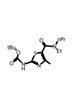 CCCN(CC)C(=O)c1sc(NC(=O)OC(C)(C)C)nc1C